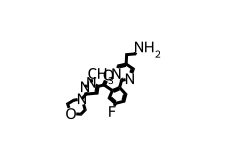 Cn1nc(N2CCOCC2)cc1C(=O)c1cc(F)ccc1-c1ncc(CCN)cn1